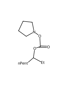 CCCCCC(CC)OC(=O)ON1CCCC1